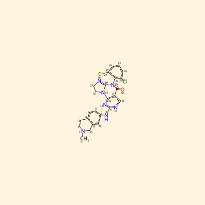 CN1CCc2ccc(Nc3ncc4c(n3)N3CCN=C3N(c3c(Cl)cccc3Cl)C4=O)cc2C1